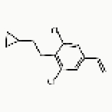 C=Cc1cc(Cl)c(CCC2CC2)c(Cl)c1